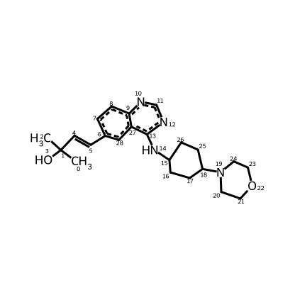 CC(C)(O)C=Cc1ccc2ncnc(NC3CCC(N4CCOCC4)CC3)c2c1